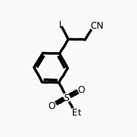 CCS(=O)(=O)c1cccc(C(I)CC#N)c1